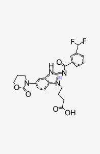 O=C(O)CCCn1/c(=N/C(=O)c2cccc(C(F)F)c2)[nH]c2cc(N3CCCOC3=O)ccc21